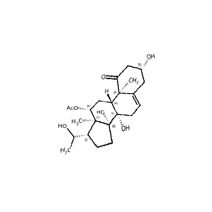 CC(=O)O[C@@H]1C[C@@H]2[C@@]3(C)C(=O)C[C@H](O)CC3=CC[C@@]2(O)[C@@]2(O)CC[C@H](C(C)O)[C@@]12C